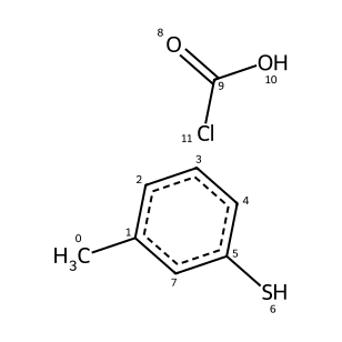 Cc1cccc(S)c1.O=C(O)Cl